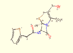 O=C(Cc1cccs1)N[C@@H]1C(=O)N2C(C(=O)O)=C(CO)CS[C@H]12